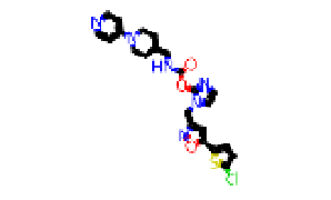 O=C(NCC1CCN(c2ccncc2)CC1)Oc1nccn1Cc1cc(-c2ccc(Cl)s2)on1